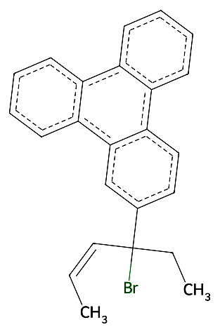 C/C=C\C(Br)(CC)c1ccc2c3ccccc3c3ccccc3c2c1